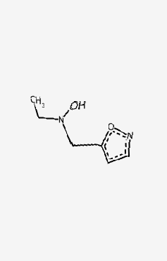 CCN(O)Cc1ccno1